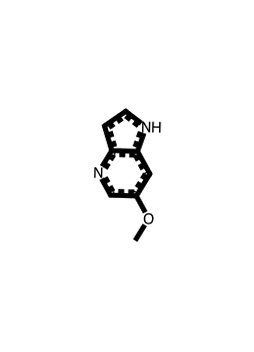 COc1cnc2cc[nH]c2c1